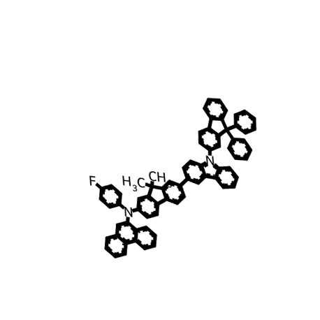 CC1(C)c2cc(-c3ccc4c(c3)c3ccccc3n4-c3ccc4c(c3)C(c3ccccc3)(c3ccccc3)c3ccccc3-4)ccc2-c2ccc(N(c3ccc(F)cc3)c3cc4ccccc4c4ccccc34)cc21